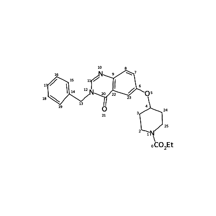 CCOC(=O)N1CCC(Oc2ccc3ncn(Cc4ccccc4)c(=O)c3c2)CC1